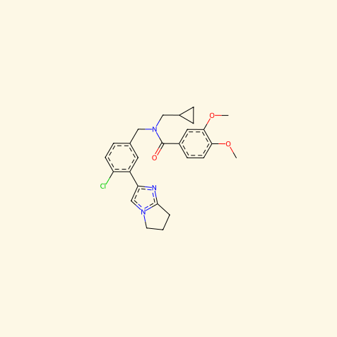 COc1ccc(C(=O)N(Cc2ccc(Cl)c(-c3cn4c(n3)CCC4)c2)CC2CC2)cc1OC